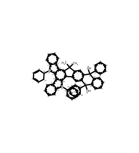 CC1(C)c2cc3c(cc2-c2c1c1c4ccccc4n(C4C=CC=CC4)c1c1c4ccccc4n(-c4ccccc4)c21)C(O)(c1ccccc1)c1ccccc1C3(O)c1ccccc1